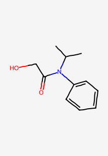 CC(C)N(C(=O)CO)c1ccccc1